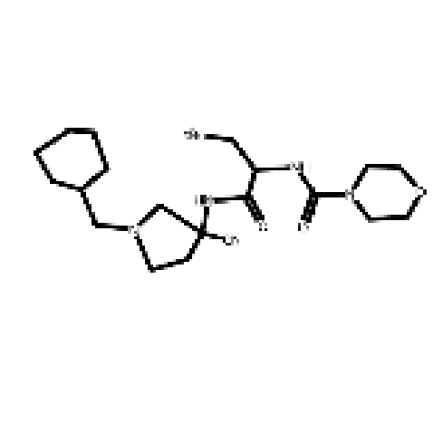 CC(C)(C)CC(NC(=O)N1CCOCC1)C(=O)NC1(C#N)CCN(CC2CCCCC2)C1